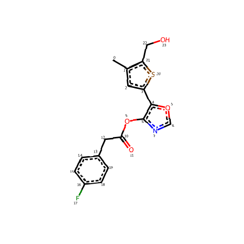 Cc1cc(-c2ocnc2OC(=O)Cc2ccc(F)cc2)sc1CO